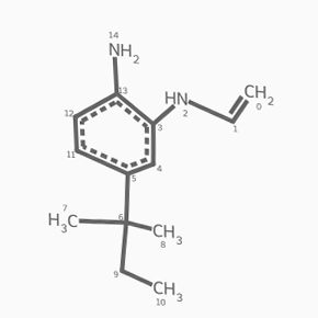 C=CNc1cc(C(C)(C)CC)ccc1N